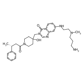 C[C@H](CC(=O)N1CCC(O)(Cn2cnc3cc(NCCN(C)CCCN)ccc3c2=O)CC1)c1ccccc1